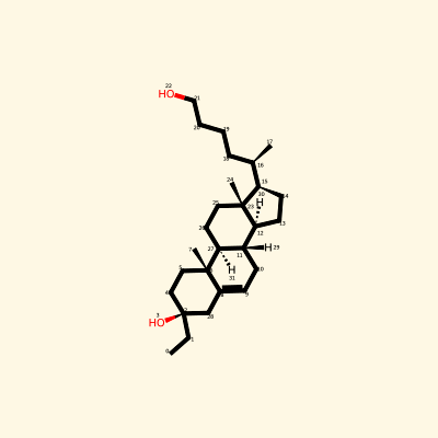 CC[C@]1(O)CC[C@@]2(C)C(=CC[C@H]3[C@@H]4CC[C@H]([C@H](C)CCCCO)[C@@]4(C)CC[C@@H]32)C1